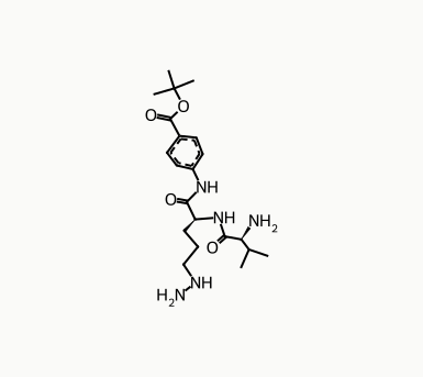 CC(C)[C@H](N)C(=O)N[C@@H](CCCNN)C(=O)Nc1ccc(C(=O)OC(C)(C)C)cc1